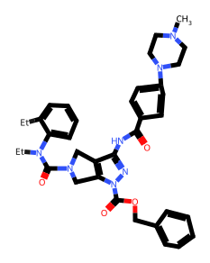 CCc1ccccc1N(CC)C(=O)N1Cc2c(NC(=O)c3ccc(N4CCN(C)CC4)cc3)nn(C(=O)OCc3ccccc3)c2C1